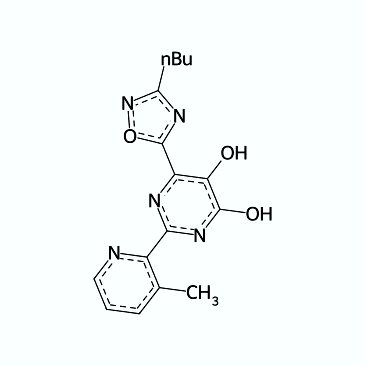 CCCCc1noc(-c2nc(-c3ncccc3C)nc(O)c2O)n1